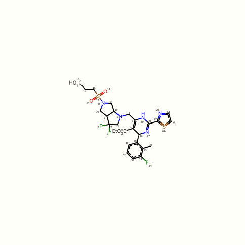 CCOC(=O)C1=C(CN2CC(F)(F)C3CN(S(=O)(=O)CCC(=O)O)CC32)NC(c2nccs2)=N[C@H]1c1cccc(F)c1C